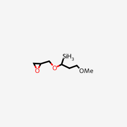 COCCC([SiH3])OCC1CO1